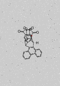 O=C1OC(=O)c2cc3c(cc21)C1c2cc4c(c(c2)[C@H]3c2c1c1ccccc1c1ccccc21)C(=O)OC4=O